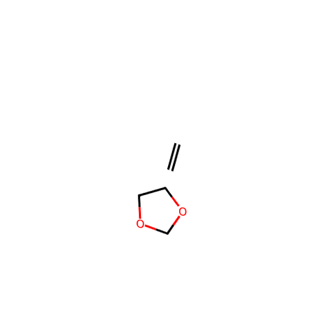 C1COCO1.C=C